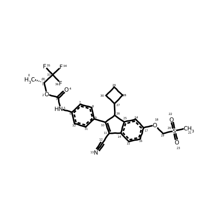 C[C@@H](OC(=O)Nc1ccc(C2=C(C#N)c3ccc(OCS(C)(=O)=O)cc3C2C2CCC2)cc1)C(F)(F)F